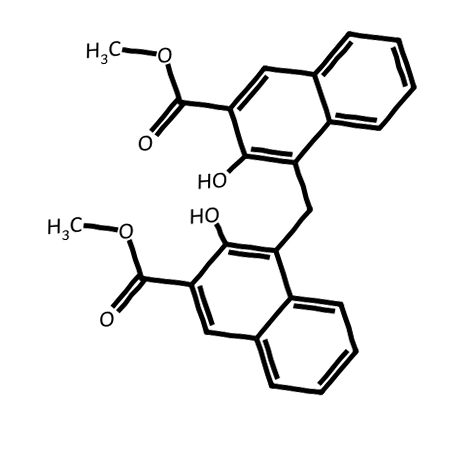 COC(=O)c1cc2ccccc2c(Cc2c(O)c(C(=O)OC)cc3ccccc23)c1O